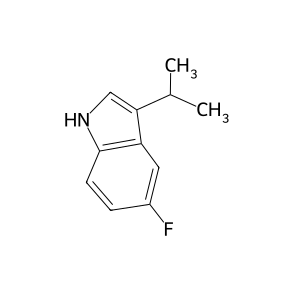 CC(C)c1c[nH]c2ccc(F)cc12